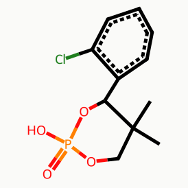 CC1(C)COP(=O)(O)OC1c1ccccc1Cl